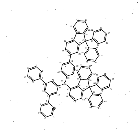 c1ccc(-c2cc(-c3ccccc3)cc(N(c3ccc(-c4ccc5c(c4)C(c4ccccc4)(c4ccccc4)c4ccccc4-5)cc3)c3cccc4c3-c3ccccc3C4(c3ccccc3)c3ccccc3)c2)cc1